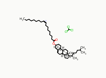 CCCCCCCC/C=C\CCCCCCCC(=O)O[C@H]1CC[C@@]2(C)C(=CC[C@H]3[C@@H]4CC[C@H]([C@H](C)CCCC(C)C)[C@@]4(C)CC[C@@H]32)C1.ClC(Cl)Cl